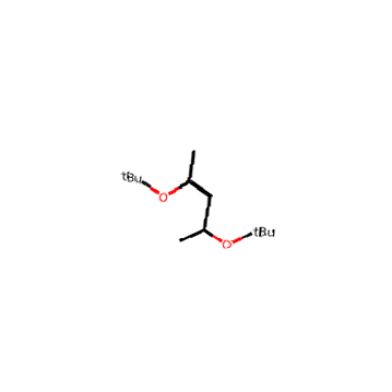 CC(CC(C)OC(C)(C)C)OC(C)(C)C